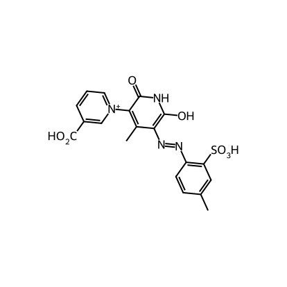 Cc1ccc(/N=N/c2c(O)[nH]c(=O)c(-[n+]3cccc(C(=O)O)c3)c2C)c(S(=O)(=O)O)c1